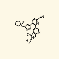 CN1Cc2ncc(-c3nc(C#N)ccc3-c3cnn(CC4(F)CCCC4)c3)cc2C1=O